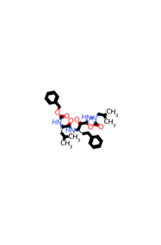 CC(C)C[C@H](NC(=O)OCc1ccccc1)C(=O)N[C@@H](CCc1ccccc1)C(=O)C1NN(CC(C)C)C(=O)O1